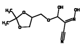 CC1(C)OCC(COC(O)/C(C#N)=N\O)O1